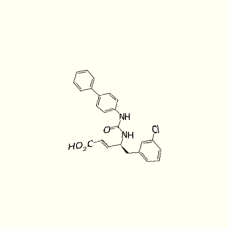 O=C(O)/C=C/[C@H](Cc1cccc(Cl)c1)NC(=O)Nc1ccc(-c2ccccc2)cc1